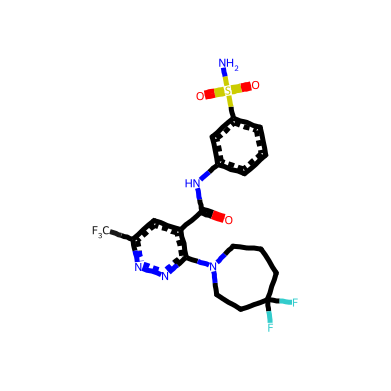 NS(=O)(=O)c1cccc(NC(=O)c2cc(C(F)(F)F)nnc2N2CCCC(F)(F)CC2)c1